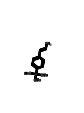 CC=Cc1ccc([Si](OC)(OC)OC)cc1